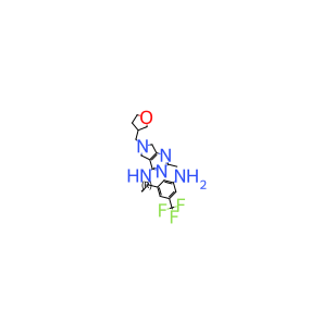 Cc1nc2c(c(N[C@H](C)c3cc(N)cc(C(F)(F)F)c3)n1)CN(CC1CCOC1)C2